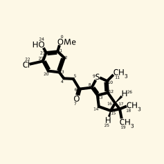 COc1cc(CCC(=O)c2sc(C)c3c2C[C@@H]2[C@H]3C2(C)C)cc(Cl)c1O